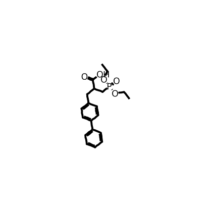 CCOP(=O)(CC(Cc1ccc(-c2ccccc2)cc1)C(=O)O)OCC